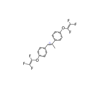 C/C(=C\c1ccc(OC(F)=C(F)F)cc1)c1ccc(OC(F)=C(F)F)cc1